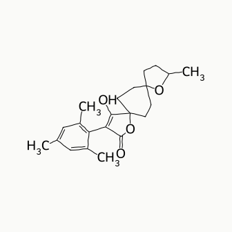 Cc1cc(C)c(C2=C(O)C3(CCC4(CCC(C)O4)CC3)OC2=O)c(C)c1